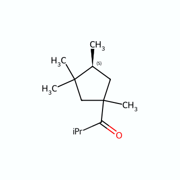 CC(C)C(=O)C1(C)C[C@H](C)C(C)(C)C1